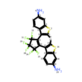 Cc1sc2cc(N)ccc2c1C1=C(c2c(C)sc3cc(N)ccc23)C(F)(F)C(F)(F)C1(F)F